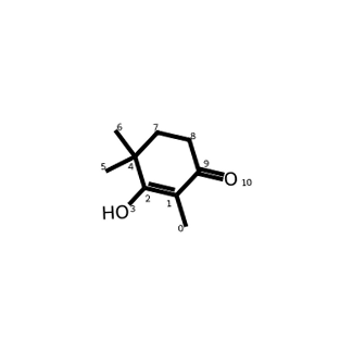 CC1=C(O)C(C)(C)CCC1=O